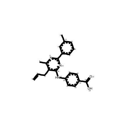 C=CCc1c(C)nc(-c2cccc(C)c2)nc1Nc1ccc(C(=O)O)cc1